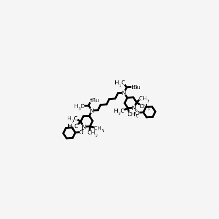 CC(N(CCCCCCN(C1CC(C)(C)N(OC2CCCCC2)C(C)(C)C1)C(C)C(C)(C)C)C1CC(C)(C)N(OC2CCCCC2)C(C)(C)C1)C(C)(C)C